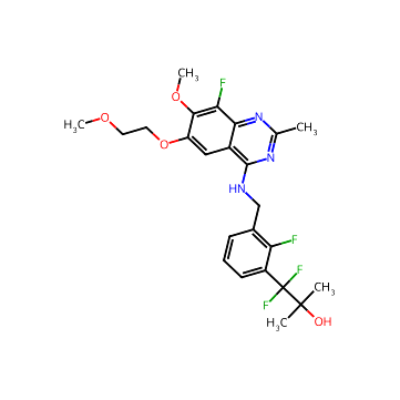 COCCOc1cc2c(NCc3cccc(C(F)(F)C(C)(C)O)c3F)nc(C)nc2c(F)c1OC